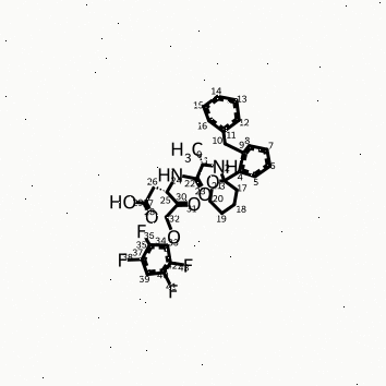 C[C@H](NC1(c2ccccc2Cc2ccccc2)CCCCO1)C(=O)N[C@@H](CC(=O)O)C(=O)COc1c(F)c(F)cc(F)c1F